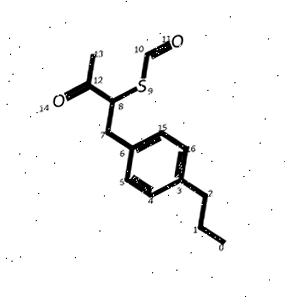 CCCc1ccc(CC(SC=O)C(C)=O)cc1